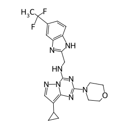 CC(F)(F)c1ccc2[nH]c(CNc3nc(N4CCOCC4)nc4c(C5CC5)cnn34)nc2c1